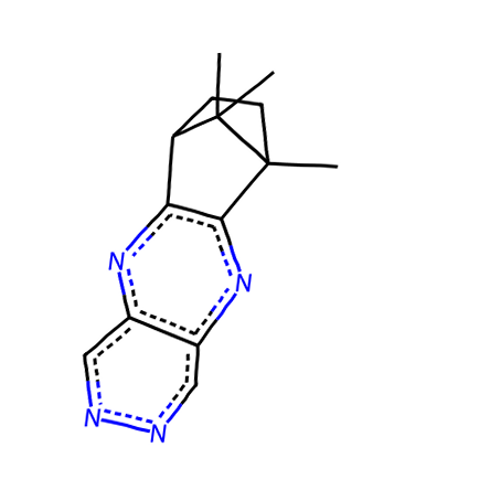 CC12CCC(c3nc4cnncc4nc31)C2(C)C